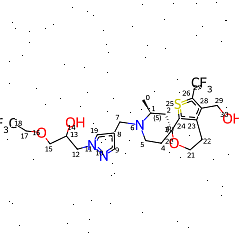 C[C@H]1C[C@@]2(CCN1Cc1cnn(CC(O)COCC(F)(F)F)c1)OCCc1c2sc(C(F)(F)F)c1CO